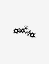 Cc1ccc(S(=O)(=O)OC[C@@H]2CC(O)(Cc3ccccc3)CN2C(=O)O)cc1